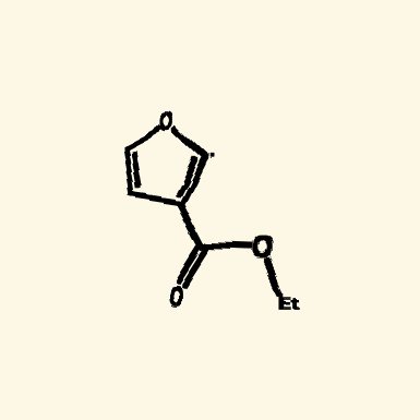 CCOC(=O)c1[c]occ1